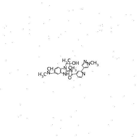 CN(C)Cc1ccc2c(c1)[nH]/c(=N\C(=O)c1ccnc(-c3cnn(C)c3)c1)n2CC(C)(C)O